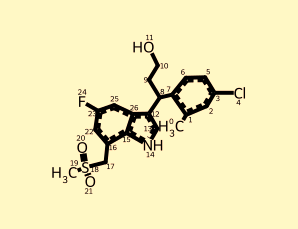 Cc1cc(Cl)ccc1C(CCO)c1c[nH]c2c(CS(C)(=O)=O)cc(F)cc12